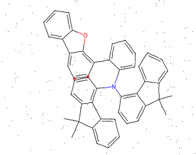 CC1(C)c2ccccc2-c2c(N(c3ccccc3-c3cccc4c3oc3ccccc34)c3cccc4c3-c3ccccc3C4(C)C)cccc21